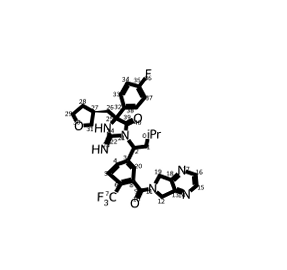 CC(C)CC(c1ccc(C(F)(F)F)c(C(=O)N2Cc3nccnc3C2)c1)N1C(=N)NC(C[C@@H]2CCOC2)(c2ccc(F)cc2)C1=O